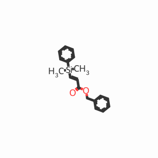 C[Si](C)(/C=C/C(=O)OCc1ccccc1)c1ccccc1